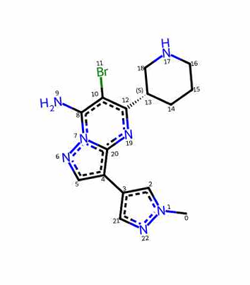 Cn1cc(-c2cnn3c(N)c(Br)c([C@H]4CCCNC4)nc23)cn1